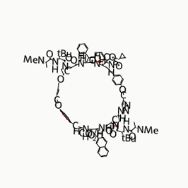 CN[C@@H](C)C(=O)N[C@H](C(=O)N1CC2CC1C(=O)N[C@@H](C(c1ccccc1)c1ccccc1)C(=O)N[C@H](C(=O)NS(=O)(=O)C1CC1)Cc1ccc(cc1)OCc1cn(nn1)[C@H]1C[C@@H](C(=O)N[C@@H](Cc3ccc4ccccc4c3)C(=O)N[C@H](C(=O)O)Cc3ccc(cc3)OC/C=C/CO2)N(C(=O)[C@@H](NC(=O)[C@H](C)NC)C(C)(C)C)C1)C(C)(C)C